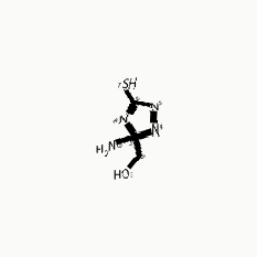 NC1(CO)N=NC(S)=N1